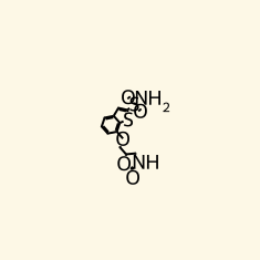 NS(=O)(=O)c1cc2cccc(OCC3CNC(=O)O3)c2s1